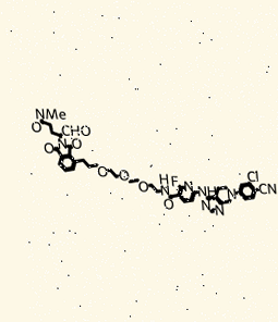 CNC(=O)CCC(C=O)N1C(=O)c2cccc(CCCOCCOCCOCCNC(=O)c3ccc(Nc4ncnc5c4CCN(c4ccc(C#N)c(Cl)c4)C5)nc3F)c2C1=O